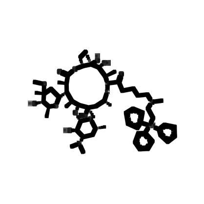 CC[C@H]1OC(=O)[C@H](C)[C@@H](C2C[C@@](C)(OC)[C@@H](O)[C@H](C)O2)[C@H](C)[C@@H](O[C@@H]2O[C@H](C)C[C@H](N(C)C)[C@H]2O)[C@](C)(O)C[C@@H](C)CN(C(=O)CCCCN(C)CC[PH](c2ccccc2)(c2ccccc2)c2ccccc2)[C@H](C)[C@@H](O)[C@]1(C)O